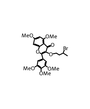 COc1cc(OC)c2c(=O)c(OCCC(C)Br)c(-c3cc(OC)c(OC)c(OC)c3)oc2c1